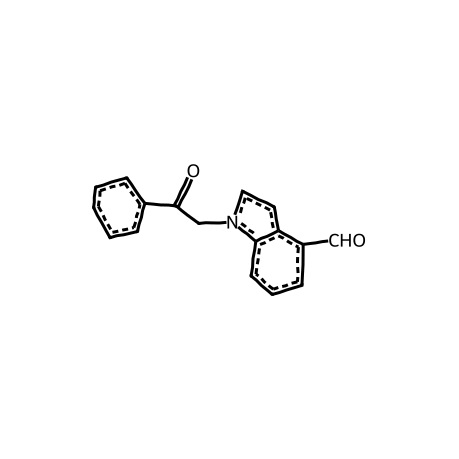 O=Cc1cccc2c1ccn2CC(=O)c1ccccc1